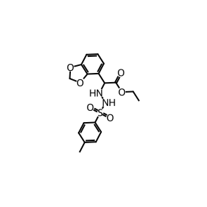 CCOC(=O)C(NNS(=O)(=O)c1ccc(C)cc1)c1cccc2c1OCO2